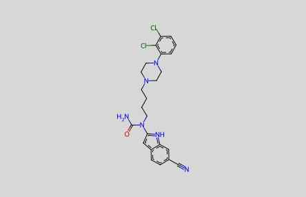 N#Cc1ccc2cc(N(CCCCN3CCN(c4cccc(Cl)c4Cl)CC3)C(N)=O)[nH]c2c1